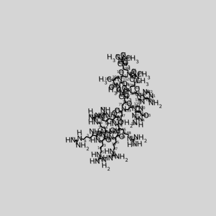 CC(=O)NC(CCCNC(=N)N)C(=O)NC(CCCNC(=N)N)C(=O)NC(CCCNC(=N)N)C(O)NC(CCCNC(=N)N)C(=O)NC(CCCNC(=N)N)C(=O)NC(CCCNC(=N)N)C(=O)NCC(=O)N1CC(COP(=O)(N(C)C)N2CC(COP(=O)(N(C)C)N3CC(COP(C)(=O)N(C)C)OC(n4cc(C)c(=O)[nH]c4=O)C3)OC(n3cnc4c(N)ncnc43)C2)OC(n2cnc3c(=O)[nH]c(N)nc32)C1